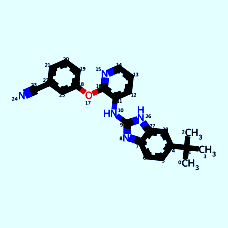 CC(C)(C)c1ccc2nc(Nc3cccnc3Oc3cccc(C#N)c3)[nH]c2c1